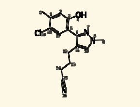 Cc1cc(O)c(-c2nn(C)cc2CCCC#N)cc1Cl